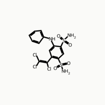 NS(=O)(=O)c1cc(S(N)(=O)=O)c(C(Cl)=C(Cl)Cl)cc1Nc1ccccc1